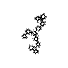 C1=Cc2c(c3ccccc3n2-c2cccc(-c3ccc(-c4cc(C5C=CC(c6cccc(-n7c8ccccc8c8ccccc87)c6)=CC5)nc(-c5cccc(-c6ccccc6)c5)n4)cc3)c2)CC1